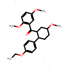 CCOc1ccc(C2CCC(OC)CC2C(=O)c2cc(OC)ccc2OC)cc1